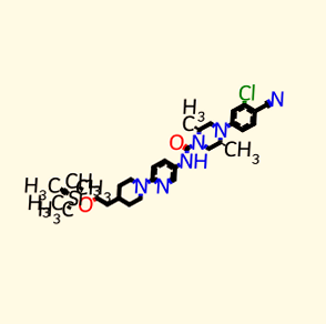 C[C@@H]1CN(C(=O)Nc2ccc(N3CCC(CCO[Si](C)(C)C(C)(C)C)CC3)nc2)[C@@H](C)CN1c1ccc(C#N)c(Cl)c1